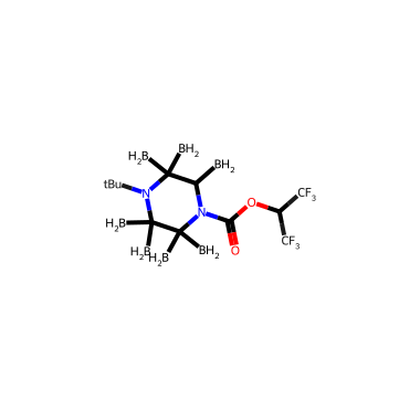 BC1N(C(=O)OC(C(F)(F)F)C(F)(F)F)C(B)(B)C(B)(B)N(C(C)(C)C)C1(B)B